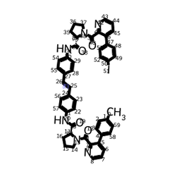 Cc1ccc(-c2cccnc2C(=O)N2CCC[C@H]2C(=O)Nc2ccc(/C=C/c3ccc(NC(=O)[C@@H]4CCCN4C(=O)c4ncccc4-c4ccc(I)cc4)cc3)cc2)cc1